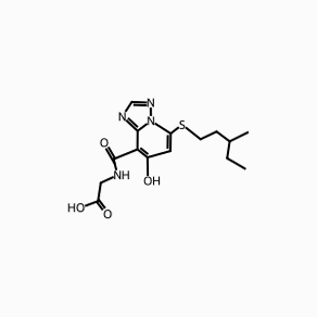 CCC(C)CCSc1cc(O)c(C(=O)NCC(=O)O)c2ncnn12